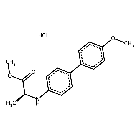 COC(=O)[C@H](C)Nc1ccc(-c2ccc(OC)cc2)cc1.Cl